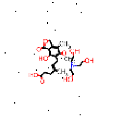 COc1c(C)c2c(c(O)c1C/C=C(\C)CCC(=O)O)C(=O)OC2.OCCN(CCO)CCO